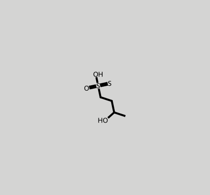 CC(O)CCS(=O)(O)=S